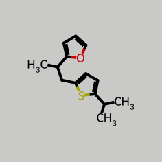 CC(C)c1ccc(CC(C)c2ccco2)s1